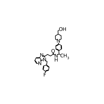 CC(NC(=O)CCc1nc2cccnc2n1Cc1ccc(F)cc1)c1ccc(N2CCC(CO)CC2)cc1